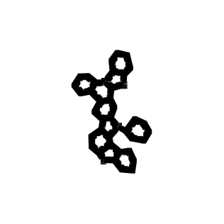 c1ccc(-n2c3cc4c(cc3c3ccc5sc6ccccc6c5c32)c2ccccc2n2c3ccccc3nc42)cc1